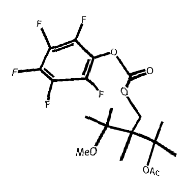 COC(C)(C)C(C)(COC(=O)Oc1c(F)c(F)c(F)c(F)c1F)C(C)(C)OC(C)=O